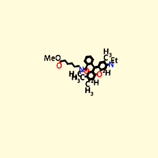 [2H]c1c2oc3c([2H])c(C)c(C)cc3c(-c3ccccc3C(=O)N(C)CCCCCC(=O)OC)c-2cc(C)/c1=N\CC